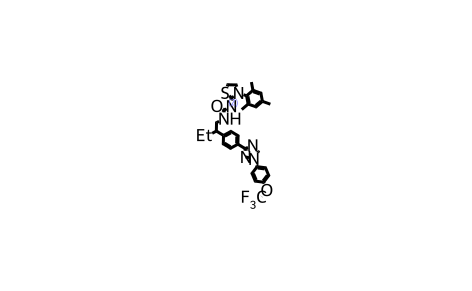 CCC(CNC(=O)/N=C1\SCCN1c1c(C)cc(C)cc1C)c1ccc(-c2ncn(-c3ccc(OC(F)(F)F)cc3)n2)cc1